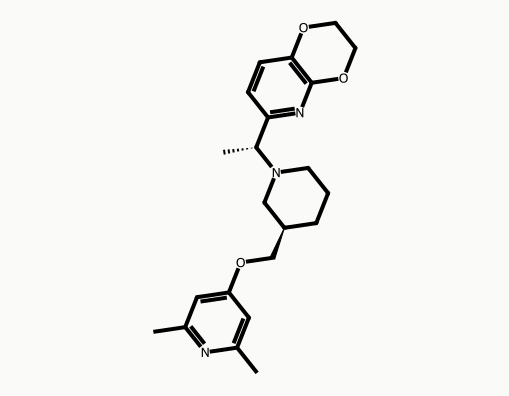 Cc1cc(OC[C@@H]2CCCN([C@H](C)c3ccc4c(n3)OCCO4)C2)cc(C)n1